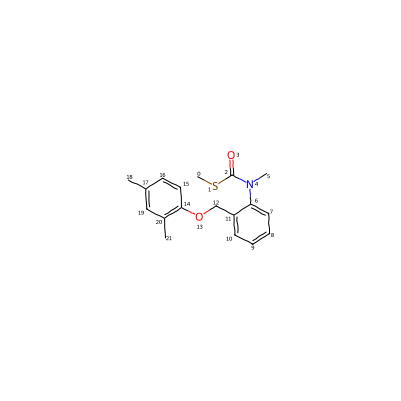 CSC(=O)N(C)c1ccccc1COc1ccc(C)cc1C